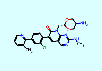 CNc1ncc2cc(-c3ccc(-c4ncccc4C)cc3Cl)c(=O)n(C[C@H]3OC[C@H](N)CO3)c2n1